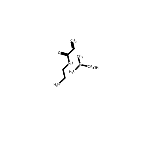 C=CC(=O)NCCN.CN(C)C.Cl